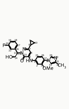 COc1cc(Nc2cc(C3CC3)nn([C@@H](CO)c3cccc(F)c3)c2=O)ccc1-n1cnc(C)c1